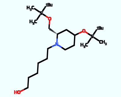 CC(C)(C)[Si](C)(C)OC[C@@H]1CC(O[Si](C)(C)C(C)(C)C)CCN1CCCCCCO